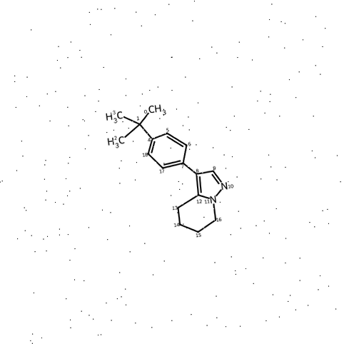 CC(C)(C)c1ccc(-c2cnn3c2CCCC3)cc1